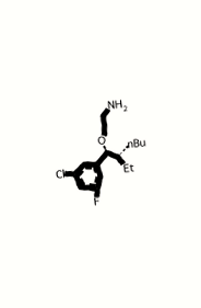 CCCC[C@H](CC)[C@@H](OCCN)c1cc(F)cc(Cl)c1